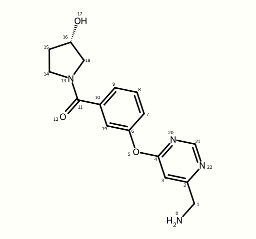 NCc1cc(Oc2cccc(C(=O)N3CC[C@H](O)C3)c2)ncn1